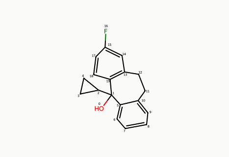 OC1(C2CC2)c2ccccc2CCc2cc(F)ccc21